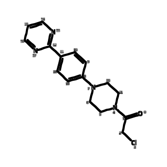 O=C(CCl)N1CCN(c2ccc(-c3ncccn3)cc2)CC1